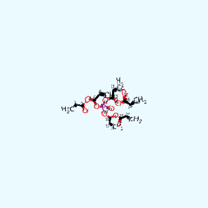 C=CC(=O)OC(C=C)OP(=O)(OC(C=C)OC(=O)C=C)OC(C=C)OC(=O)C=C